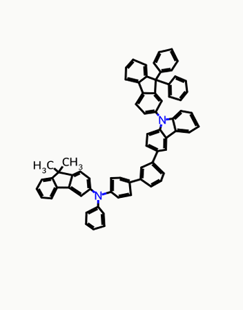 CC1(C)c2ccccc2-c2cc(N(c3ccccc3)c3ccc(-c4cccc(-c5ccc6c(c5)c5ccccc5n6-c5ccc6c(c5)C(c5ccccc5)(c5ccccc5)c5ccccc5-6)c4)cc3)ccc21